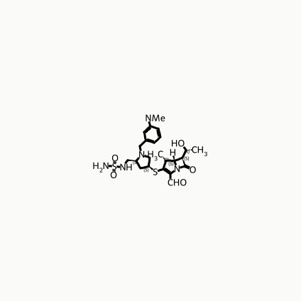 CNc1cccc(CN2C[C@@H](SC3=C(C=O)N4C(=O)[C@H]([C@@H](C)O)[C@H]4[C@H]3C)C[C@H]2CNS(N)(=O)=O)c1